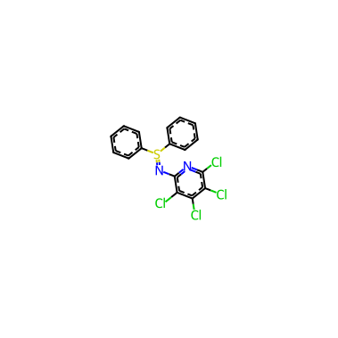 Clc1nc(N=S(c2ccccc2)c2ccccc2)c(Cl)c(Cl)c1Cl